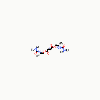 CCN(CC)C(=O)N[C@H](COC(=O)/C=C/C(=O)OC[C@@H](NC(=O)N(CC)CC)C(C)C)C(C)C